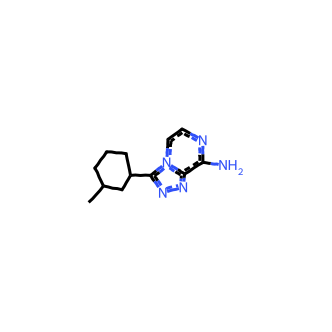 CC1CCCC(c2nnc3c(N)nccn23)C1